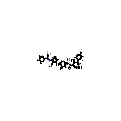 O=C(Nc1ccc(Oc2ccnc(/N=C(\P)c3ccccc3)c2Cl)c(F)c1)c1c[nH]cc(-c2ccc(F)cc2)c1=O